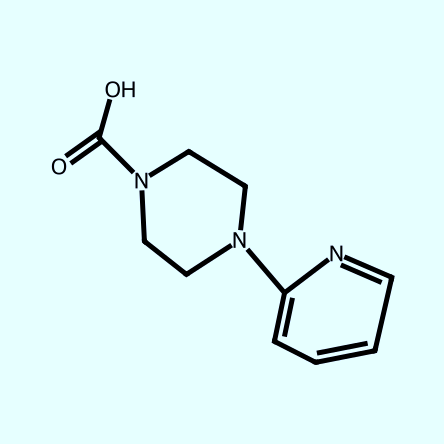 O=C(O)N1CCN(c2ccccn2)CC1